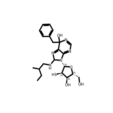 CCC(C)CNC1N=C2C(=NC=NC2(O)Cc2ccccc2)N1[C@@H]1O[C@H](CO)[C@@H](O)[C@H]1S